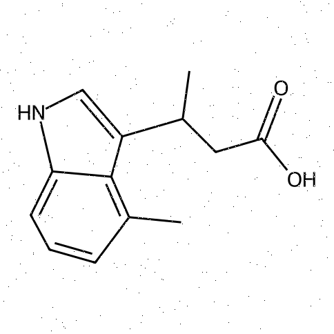 Cc1cccc2[nH]cc(C(C)CC(=O)O)c12